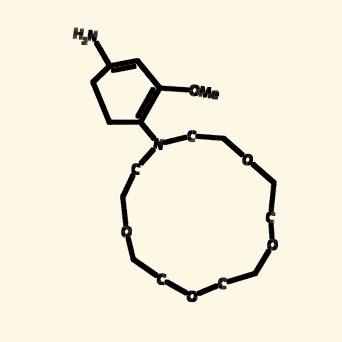 COC1=C(N2CCOCCOCCOCCOCC2)CCC(N)=C1